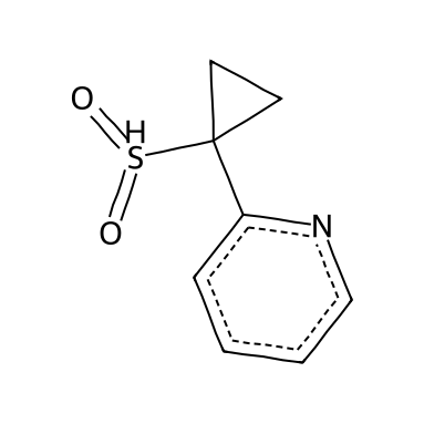 O=[SH](=O)C1(c2ccccn2)CC1